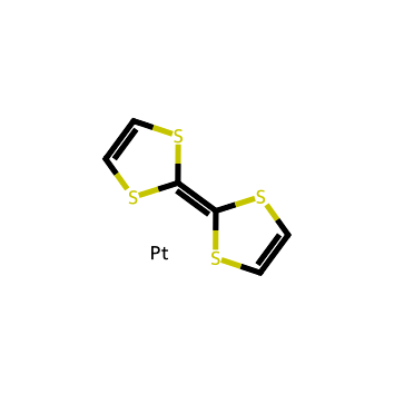 C1=CSC(=C2SC=CS2)S1.[Pt]